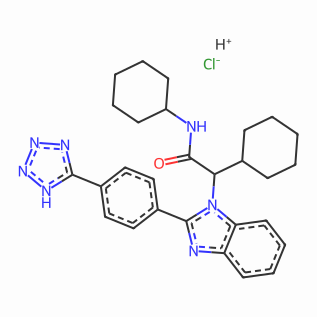 O=C(NC1CCCCC1)C(C1CCCCC1)n1c(-c2ccc(-c3nnn[nH]3)cc2)nc2ccccc21.[Cl-].[H+]